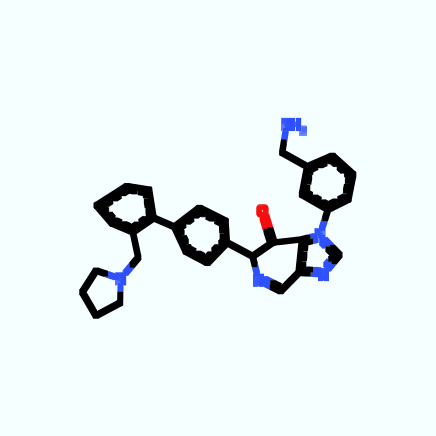 NCc1cccc(-n2cnc3c2C(=O)C(c2ccc(-c4ccccc4CN4CCCC4)cc2)N=C3)c1